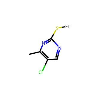 CCSc1n[c]c(Cl)c(C)n1